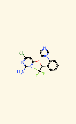 Nc1nc(Cl)cc(OC(c2ccccc2-n2ccnc2)C(F)(F)F)n1